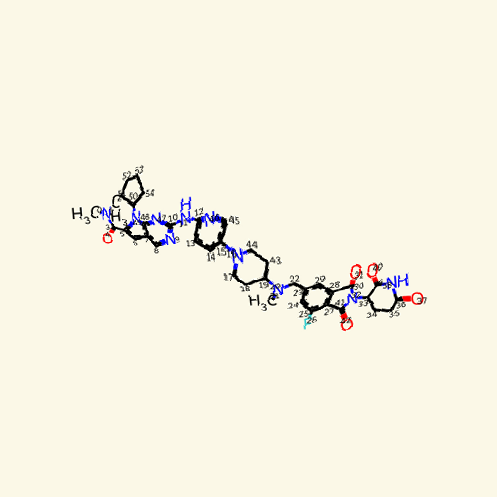 CN(C)C(=O)c1cc2cnc(Nc3ccc(N4CCC(N(C)Cc5cc(F)c6c(c5)C(=O)N(C5CCC(=O)NC5=O)C6=O)CC4)cn3)nc2n1C1CCCC1